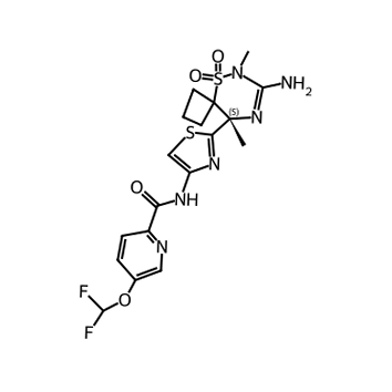 CN1C(N)=N[C@](C)(c2nc(NC(=O)c3ccc(OC(F)F)cn3)cs2)C2(CCC2)S1(=O)=O